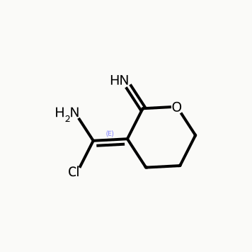 N=C1OCCC/C1=C(/N)Cl